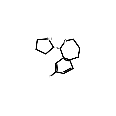 Fc1ccc2c(c1)C([C@@H]1CCCN1)OCCC2